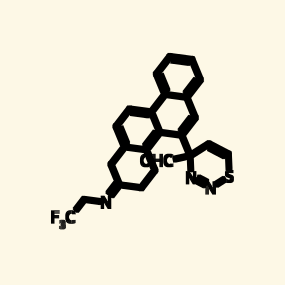 O=CC1(c2cc3ccccc3c3ccc4c(c23)CCC(=NCC(F)(F)F)C4)C=CSN=N1